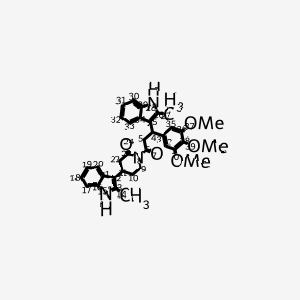 COc1cc(C(CC(=O)N2CCC(c3c(C)[nH]c4ccccc34)CC2=O)c2c(C)[nH]c3ccccc23)cc(OC)c1OC